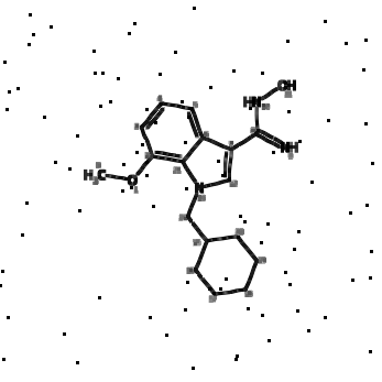 COc1cccc2c(C(=N)NO)cn(CC3CCCCC3)c12